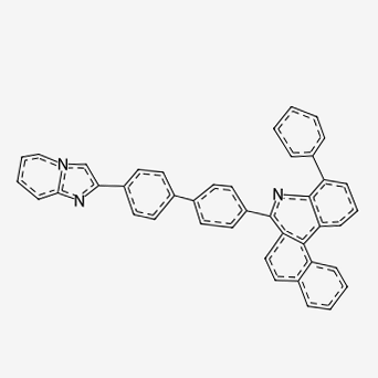 c1ccc(-c2cccc3c2nc(-c2ccc(-c4ccc(-c5cn6ccccc6n5)cc4)cc2)c2ccc4ccccc4c23)cc1